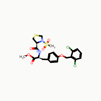 COC(=O)[C@H](Cc1ccc(OCc2c(Cl)cccc2Cl)cc1)NC(=O)[C@H]1CSCN1S(C)(=O)=O